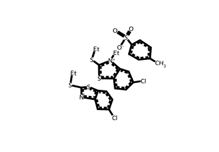 CCSc1nc2cc(Cl)ccc2s1.CCSc1sc2ccc(Cl)cc2[n+]1CC.Cc1ccc(S(=O)(=O)[O-])cc1